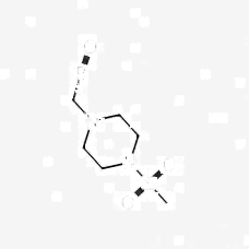 CS(=O)(=O)N1CCN(CB=O)CC1